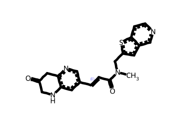 CN(Cc1cc2cnccc2s1)C(=O)/C=C/c1cnc2c(c1)NCC(=O)C2